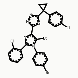 CCc1c(-c2nnc(C3(c4ccc(Cl)cc4)CC3)s2)nc(-c2ccccc2Cl)n1-c1ccc(Br)cc1